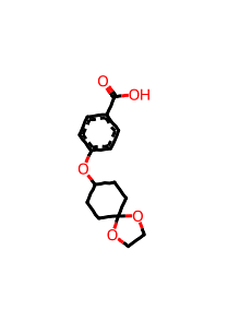 O=C(O)c1ccc(OC2CCC3(CC2)OCCO3)cc1